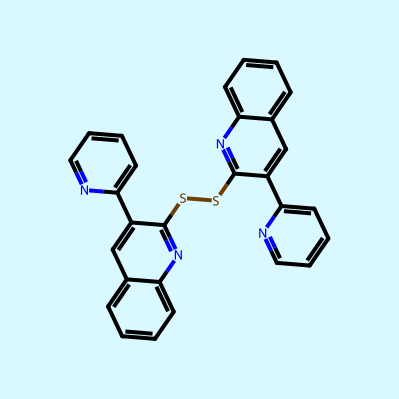 c1ccc(-c2cc3ccccc3nc2SSc2nc3ccccc3cc2-c2ccccn2)nc1